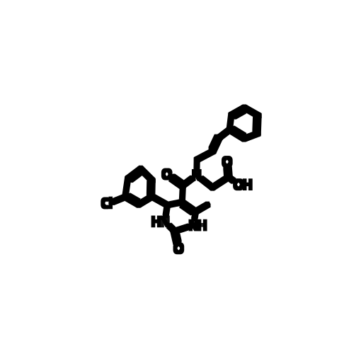 CC1=C(C(=O)N(C/C=C/c2ccccc2)CC(=O)O)C(c2cccc(Cl)c2)NC(=O)N1